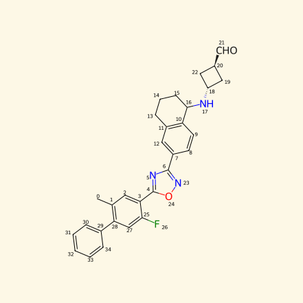 Cc1cc(-c2nc(-c3ccc4c(c3)CCCC4N[C@H]3C[C@H](C=O)C3)no2)c(F)cc1-c1ccccc1